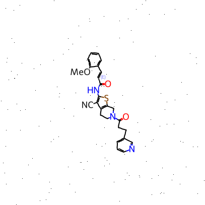 COc1ccccc1/C=C/C(=O)Nc1sc2c(c1C#N)CCN(C(=O)CCc1cccnc1)C2